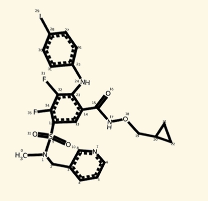 CN(Cc1cccnc1)S(=O)(=O)c1cc(C(=O)NOCC2CC2)c(Nc2ccc(I)cc2)c(F)c1F